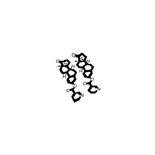 C[C@]12CC[C@@H]3c4ccc(OC(=O)c5cccnc5)cc4CC[C@H]3[C@@H]1CCC2=O.C[C@]12CC[C@@H]3c4ccc(OC(=O)c5cccnc5)cc4CC[C@H]3[C@@H]1CCC2=O